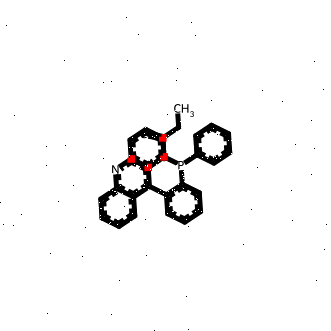 CCC(=O)Oc1cnc2ccccc2c1-c1ccccc1P(c1ccccc1)c1ccccc1